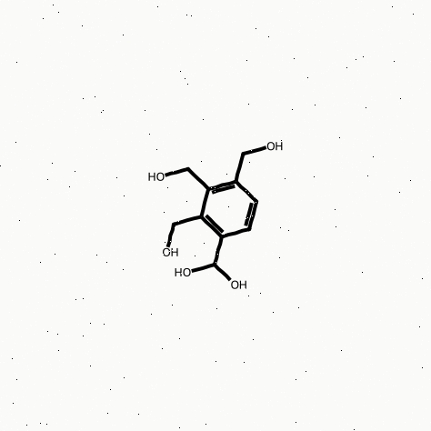 OCc1ccc(C(O)O)c(CO)c1CO